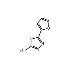 CC(C)(C)c1nnc(-c2ccco2)s1